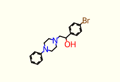 OC(CN1CCN(c2ccccc2)CC1)c1ccc(Br)cc1